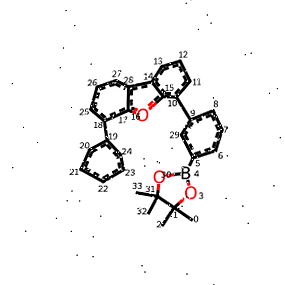 CC1(C)OB(c2cccc(-c3cccc4c3oc3c(-c5ccccc5)cccc34)c2)OC1(C)C